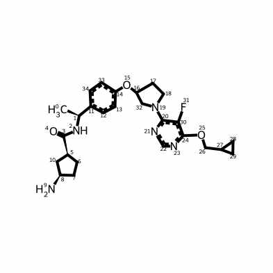 C[C@H](NC(=O)[C@H]1CC[C@@H](N)C1)c1ccc(OC2CCN(c3ncnc(OCC4CC4)c3F)C2)cc1